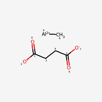 O=C([O-])CCC(=O)[O-].[CH3][Al+2]